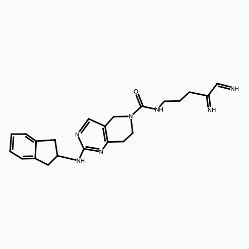 N=CC(=N)CCCNC(=O)N1CCc2nc(NC3Cc4ccccc4C3)ncc2C1